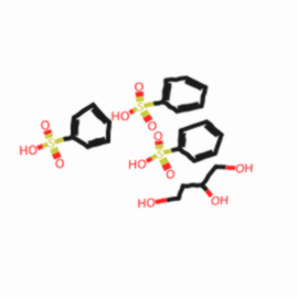 O=S(=O)(O)c1ccccc1.O=S(=O)(O)c1ccccc1.O=S(=O)(O)c1ccccc1.OCCC(O)CO